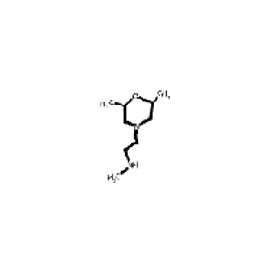 CNCCN1C[C@@H](C)O[C@@H](C)C1